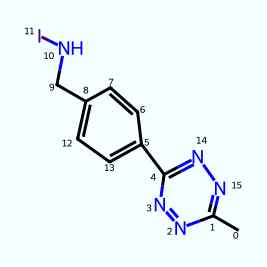 Cc1nnc(-c2ccc(CNI)cc2)nn1